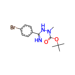 CN(NC(=N)c1ccc(Br)cc1)C(=O)OC(C)(C)C